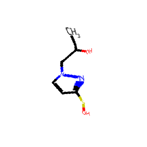 CC(O)Cn1ccc(SO)n1